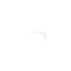 CN(CCOc1ncccc1-c1cc2c(Br)n[nH]c2cn1)C(=O)OC(C)(C)C